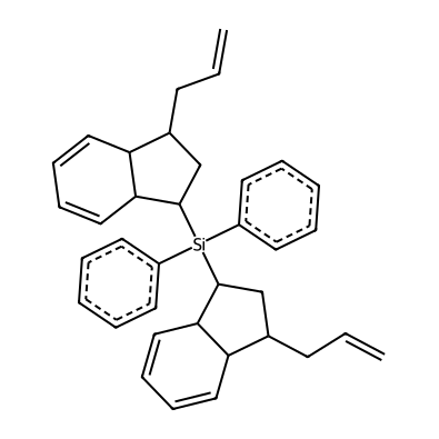 C=CCC1CC([Si](c2ccccc2)(c2ccccc2)C2CC(CC=C)C3C=CC=CC32)C2C=CC=CC12